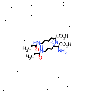 C=CC(=O)NCCCCC(N)C(=O)O.C=CC(=O)NCCCC[C@H](N)C(=O)O